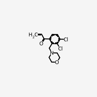 C=CC(=O)c1ccc(Cl)c(Cl)c1CN1CCOCC1